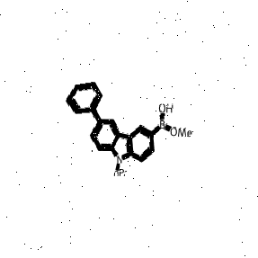 CCCn1c2ccc(B(O)OC)cc2c2cc(-c3ccccc3)ccc21